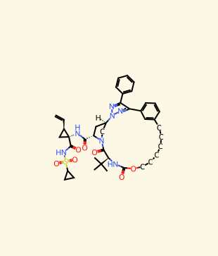 C=C[C@@H]1C[C@]1(NC(=O)[C@@H]1C[C@@H]2CN1C(=O)[C@H](C(C)(C)C)NC(=O)OCCCCCCc1cccc(c1)-c1nn2nc1-c1ccccc1)C(=O)NS(=O)(=O)C1CC1